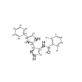 Cc1cccc(C)c1C(=O)Nc1c[nH]nc1-c1nc(-c2ccccc2)c[nH]1